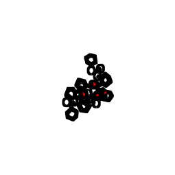 O=C(Oc1ccccc1C(=O)C1(OC(=O)C2CCCCC2)C=CC=CC1C(=O)OOC(=O)C1C=CC=CC1(OC(=O)C1CCCCC1)C(=O)c1ccccc1OC(=O)OC1CCCCC1)OC1CCCCC1